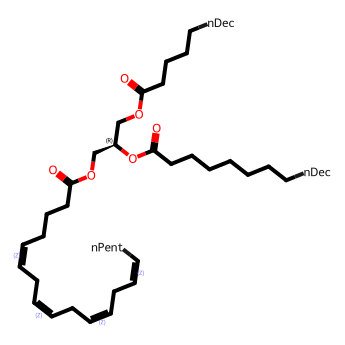 CCCCC/C=C\C/C=C\C/C=C\C/C=C\CCCC(=O)OC[C@@H](COC(=O)CCCCCCCCCCCCCC)OC(=O)CCCCCCCCCCCCCCCCC